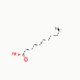 [13CH3]CCCCCCCCC(=O)O